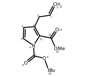 C=CCc1ccn(C(=O)OC(C)(C)C)c1C(=O)OC